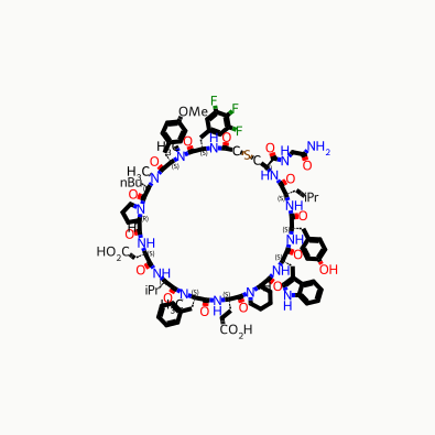 CCCC[C@H]1C(=O)N2CCC[C@@H]2C(=O)N[C@@H](CC(=O)O)C(=O)N[C@@H](C(C)C)C(=O)N(C)[C@@H](Cc2ccccc2)C(=O)N[C@@H](CCC(=O)O)C(=O)N2CCCC[C@@H]2C(=O)N[C@@H](Cc2c[nH]c3ccccc23)C(=O)N[C@@H](Cc2ccc(O)cc2)C(=O)N[C@@H](CC(C)C)C(=O)N[C@H](C(=O)NCC(N)=O)CSCC(=O)N[C@@H](Cc2cc(F)c(F)c(F)c2)C(=O)N(C)[C@@H](Cc2ccc(OC)cc2)C(=O)N1C